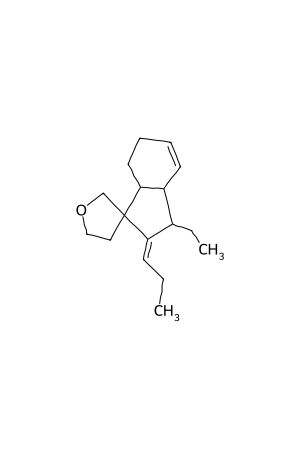 CC/C=C1\C(CC)C2C=CCCC2C12CCOC2